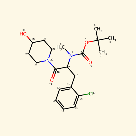 CN(C(=O)OC(C)(C)C)C(Cc1ccccc1Cl)C(=O)N1CCC(O)CC1